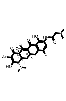 CC(=O)C1=C(O)[C@@H](N(C)C)[C@@H]2C[C@]3(C)Cc4c(F)cc(NC(=O)CN(C)C)c(O)c4C(=O)C3=C(O)[C@]2(O)C1=O